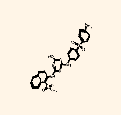 Nc1ccc(S(=O)(=O)c2ccc(Nc3nc(O)nc(Nc4ccc5ccccc5c4S(=O)(=O)O)n3)cc2)cc1